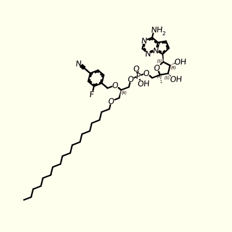 CCCCCCCCCCCCCCCCCCOC[C@H](COP(=O)(O)OC[C@@]1(C)O[C@@H](c2ccc3c(N)ncnn23)[C@H](O)[C@@H]1O)OCc1ccc(C#N)cc1F